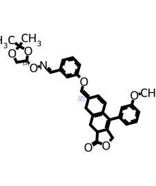 COc1cccc(C2=C3COC(=O)C3CC3=C2C=C/C(=C\Oc2cccc(C=NO[C@H]4COC(C)(C)O4)c2)C3)c1